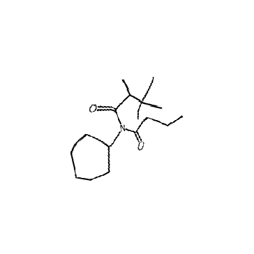 CCCC(=O)N(C(=O)C(C)C(C)(C)C)C1CCCCC1